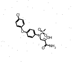 CS(=O)(=O)N(C[C@@H](O)C(N)=O)c1ccc(Oc2ccc(Cl)cc2)cc1